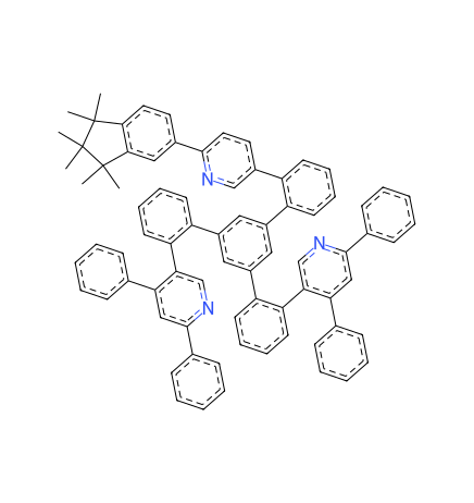 CC1(C)c2ccc(-c3ccc(-c4ccccc4-c4cc(-c5ccccc5-c5cnc(-c6ccccc6)cc5-c5ccccc5)cc(-c5ccccc5-c5cnc(-c6ccccc6)cc5-c5ccccc5)c4)cn3)cc2C(C)(C)C1(C)C